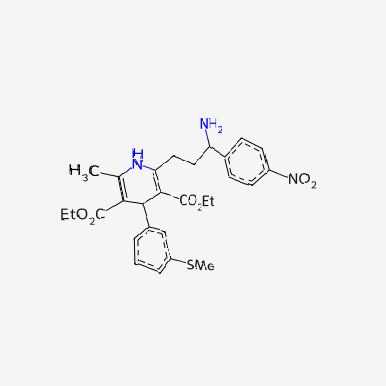 CCOC(=O)C1=C(C)NC(CCC(N)c2ccc([N+](=O)[O-])cc2)=C(C(=O)OCC)C1c1cccc(SC)c1